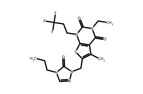 CCCn1cnn(Cc2sc3c(c2C)c(=O)n(CC)c(=O)n3CCC(F)(F)F)c1=O